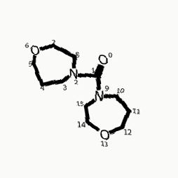 O=C(N1CCCOCC1)N1CCCOCC1